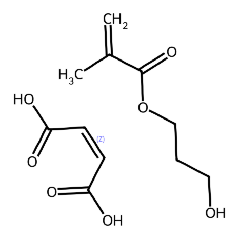 C=C(C)C(=O)OCCCO.O=C(O)/C=C\C(=O)O